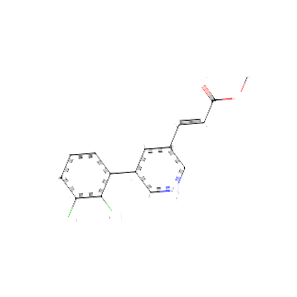 COC(=O)C=Cc1cncc(-c2cccc(Cl)c2Cl)c1